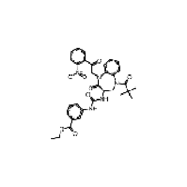 CCOC(=O)c1cccc(NC(=O)NC2CN(C(=O)C(C)(C)C)c3ccccc3N(CC(=O)c3ccccc3[N+](=O)[O-])C2=O)c1